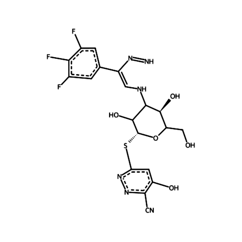 N#Cc1nnc(S[C@H]2OC(CO)[C@H](O)C(N/C=C(\N=N)c3cc(F)c(F)c(F)c3)C2O)cc1O